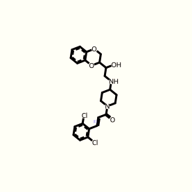 O=C(/C=C/c1c(Cl)cccc1Cl)N1CCC(NCC(O)C2COc3ccccc3O2)CC1